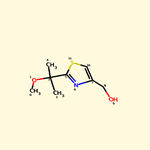 COC(C)(C)c1nc(CO)cs1